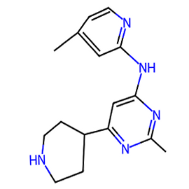 Cc1ccnc(Nc2cc(C3CCNCC3)nc(C)n2)c1